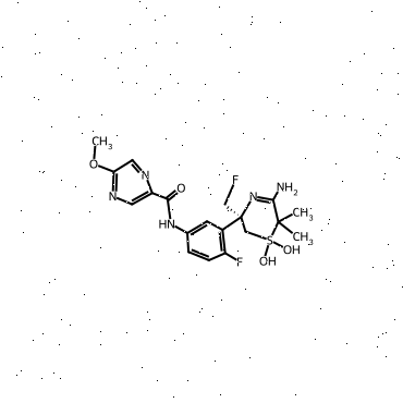 COc1cnc(C(=O)Nc2ccc(F)c([C@]3(CF)CS(O)(O)C(C)(C)C(N)=N3)c2)cn1